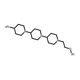 CCCC1CCN(C2CCN(C3CCN(CCOC(C)C)CC3)CC2)CC1